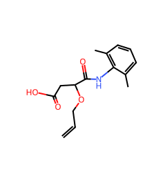 C=CCOC(CC(=O)O)C(=O)Nc1c(C)cccc1C